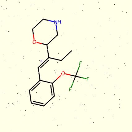 CC/C(=C\c1ccccc1OC(F)(F)F)C1CNCCO1